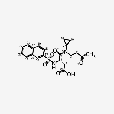 CC(=O)CCN(C(=O)[C@H](CC(=O)O)NS(=O)(=O)c1ccc2ccccc2c1)C1CC1